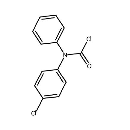 O=C(Cl)N(c1ccccc1)c1ccc(Cl)cc1